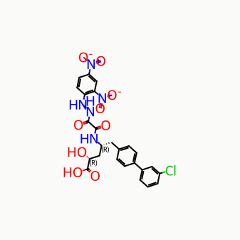 O=C(NNc1ccc([N+](=O)[O-])cc1[N+](=O)[O-])C(=O)N[C@H](Cc1ccc(-c2cccc(Cl)c2)cc1)C[C@@H](O)C(=O)O